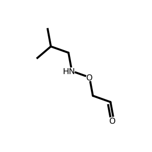 CC(C)CNOCC=O